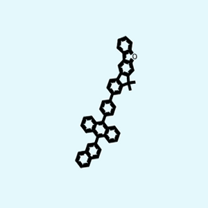 CC1(C)c2cc(-c3ccc(-c4c5ccccc5c(-c5ccc6ccccc6c5)c5ccccc45)cc3)ccc2-c2cc3c(cc21)oc1ccccc13